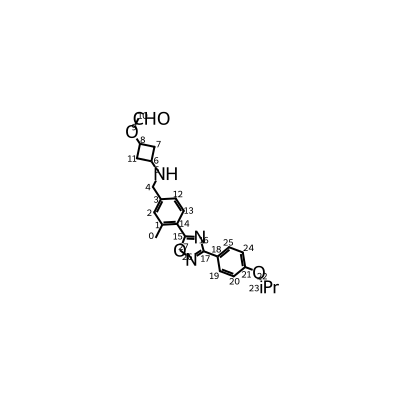 Cc1cc(CNC2CC(OC=O)C2)ccc1-c1nc(-c2ccc(OC(C)C)cc2)no1